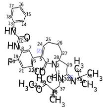 CCN1C(=O)/C(c2cc(NC(=O)Nc3ccccc3)c(F)cc2Cl)=C\CCCC1C/C(=N\C(C)(C)C)NC[C@@H](C)COC